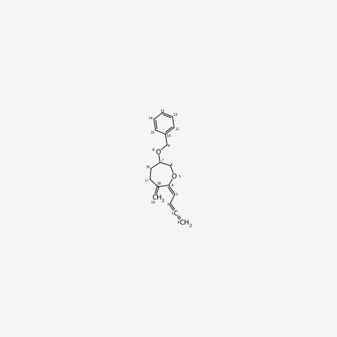 C=C=C/C=C1/OCC(OCc2ccccc2)CCC1=C